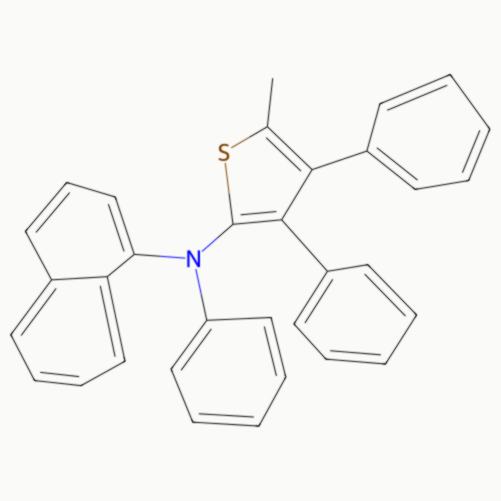 Cc1sc(N(c2ccccc2)c2cccc3ccccc23)c(-c2ccccc2)c1-c1ccccc1